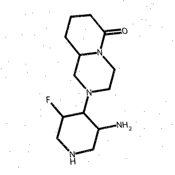 NC1CNCC(F)C1N1CCN2C(=O)CCCC2C1